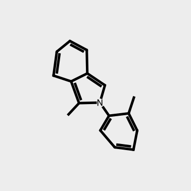 Cc1ccccc1-n1cc2ccccc2c1C